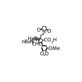 CCCCN(C=O)CCCC.COc1cc(C2CN(C)C(CCN3C(=O)CCC3=O)C2C(=O)O)cc2c1OCO2